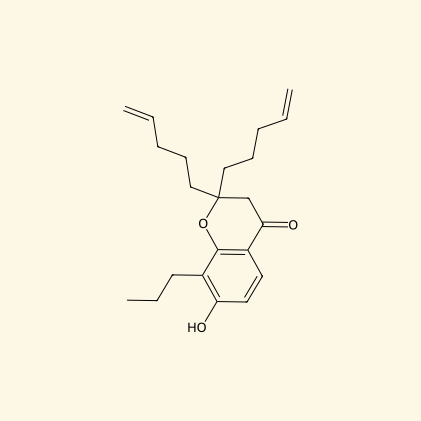 C=CCCCC1(CCCC=C)CC(=O)c2ccc(O)c(CCC)c2O1